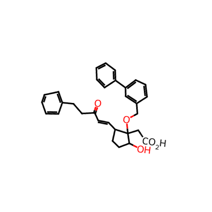 O=C(O)CC1(OCc2cccc(-c3ccccc3)c2)C(O)CCC1C=CC(=O)CCc1ccccc1